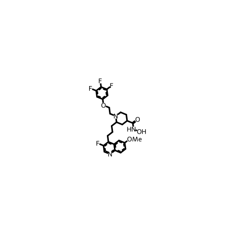 COc1ccc2ncc(F)c(CCCC3CC(C(=O)NO)CCN3CCOc3cc(F)c(F)c(F)c3)c2c1